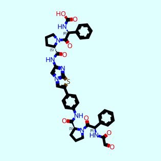 O=CC(=O)N[C@@H](C(=O)N1CCC[C@H]1C(=O)Nc1ccc(-c2cn3cc(NC(=O)[C@@H]4CCCN4C(=O)[C@H](NC(=O)O)c4ccccc4)nc3s2)cc1)c1ccccc1